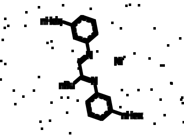 CCCCCCc1cccc(N=CC(CCCC)=Nc2cccc(CCCCCC)c2)c1.[Ni]